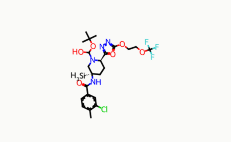 Cc1ccc(C(=O)N[C@]2([SiH3])CC[C@H](c3nnc(OCCOC(F)(F)F)o3)N(C(O)OC(C)(C)C)C2)cc1Cl